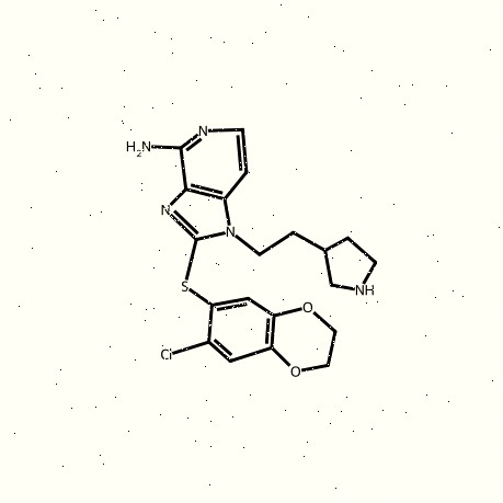 Nc1nccc2c1nc(Sc1cc3c(cc1Cl)OCCO3)n2CCC1CCNC1